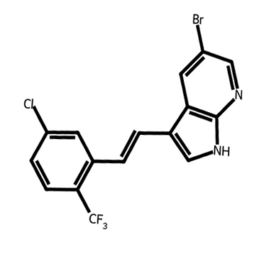 FC(F)(F)c1ccc(Cl)cc1/C=C/c1c[nH]c2ncc(Br)cc12